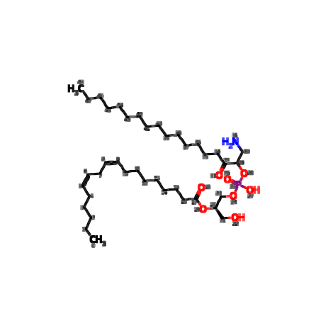 CCCCC/C=C\C/C=C\CCCCCCCC(=O)O[C@H](CO)COP(=O)(O)OC(CN)C(=O)CCCCCCCCCCCCCCC